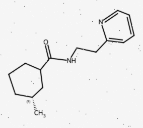 C[C@@H]1CCCC(C(=O)NCCc2ccccn2)C1